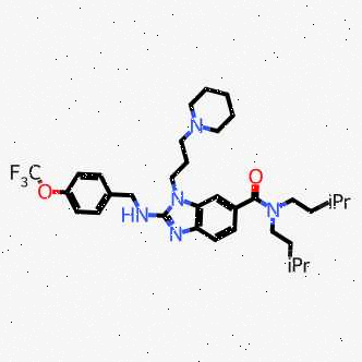 CC(C)CCN(CCC(C)C)C(=O)c1ccc2nc(NCc3ccc(OC(F)(F)F)cc3)n(CCCN3CCCCC3)c2c1